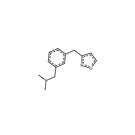 CN(C)Cc1cccc(Cc2[c]con2)c1